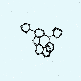 c1ccc(-c2ccc(N(c3ccccc3)c3ccccc3)c3c2oc2ccc4ccccc4c23)cc1